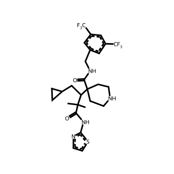 CC(C)(C(=O)Nc1nccs1)C(CC1CC1)C1(C(=O)NCc2cc(C(F)(F)F)cc(C(F)(F)F)c2)CCNCC1